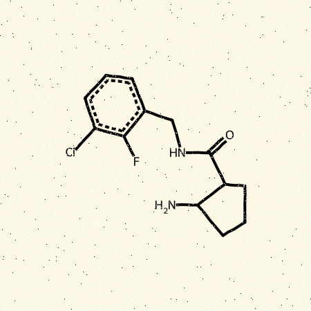 NC1CCCC1C(=O)NCc1cccc(Cl)c1F